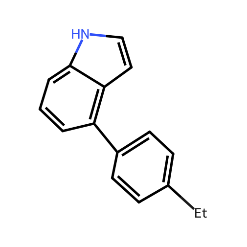 CCc1ccc(-c2cccc3[nH]ccc23)cc1